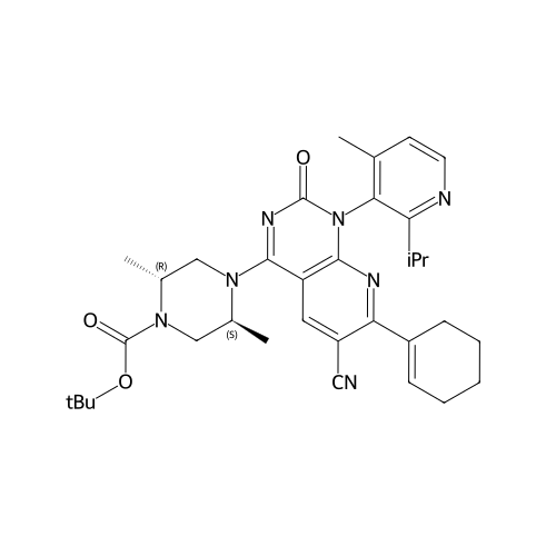 Cc1ccnc(C(C)C)c1-n1c(=O)nc(N2C[C@@H](C)N(C(=O)OC(C)(C)C)C[C@@H]2C)c2cc(C#N)c(C3=CCCCC3)nc21